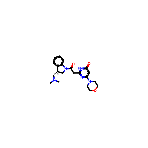 CN(C)C[C@H]1CN(C(=O)Cc2nc(N3CCOCC3)cc(=O)[nH]2)c2ccccc21